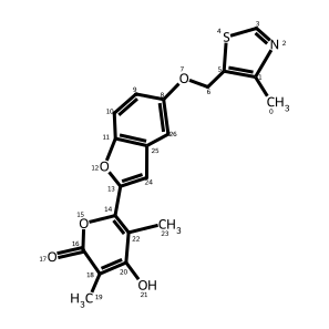 Cc1ncsc1COc1ccc2oc(-c3oc(=O)c(C)c(O)c3C)cc2c1